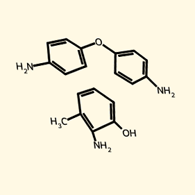 Cc1cccc(O)c1N.Nc1ccc(Oc2ccc(N)cc2)cc1